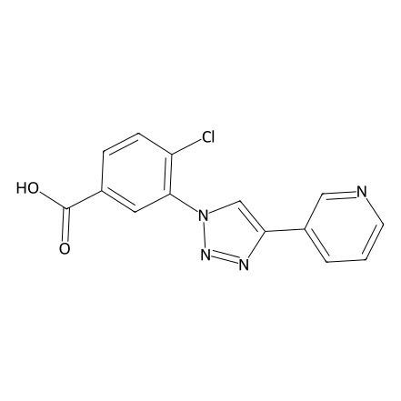 O=C(O)c1ccc(Cl)c(-n2cc(-c3cccnc3)nn2)c1